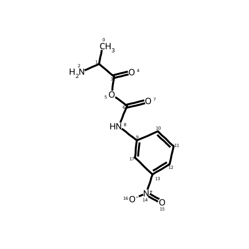 CC(N)C(=O)OC(=O)Nc1cccc([N+](=O)[O-])c1